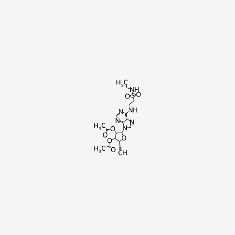 C#CC1OC(n2cnc3c(NCCS(=O)(=O)NCC)ncnc32)C(OC(C)=O)C1OC(C)=O